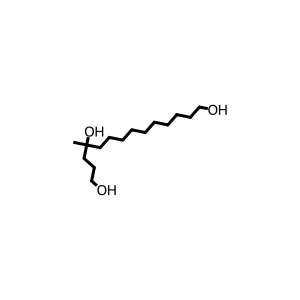 CC(O)(CCCO)CCCCCCCCCCO